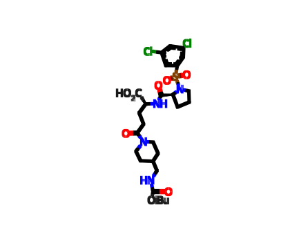 CC(C)COC(=O)NCC1CCN(C(=O)CC[C@H](NC(=O)[C@@H]2CCCN2S(=O)(=O)c2cc(Cl)cc(Cl)c2)C(=O)O)CC1